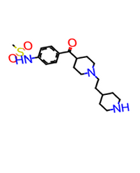 CS(=O)(=O)Nc1ccc(C(=O)C2CCN(CCC3CCNCC3)CC2)cc1